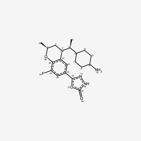 C[C@H]1CN([C@@H](C)C2CCC(N)CC2)c2cc(-c3n[nH]c(=O)o3)cc(F)c2O1